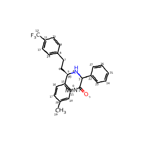 CNC(=O)C(N[C@H](CCc1ccc(C(F)(F)F)cc1)c1ccc(C)cc1)c1ccccc1